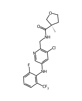 C[C@@]1(C(=O)NCc2ncc(Nc3c(F)cccc3C(F)(F)F)cc2Cl)CCOC1